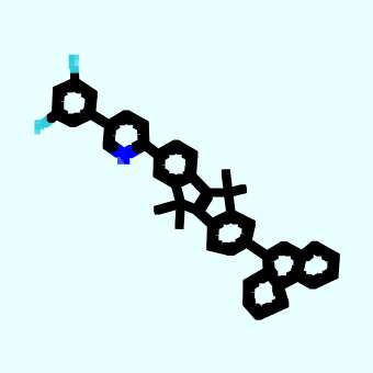 CC1(C)C2=C(c3ccc(-c4ccc(-c5cc(F)cc(F)c5)cn4)cc31)C(C)(C)c1cc(-c3cc4ccccc4c4ccccc34)ccc12